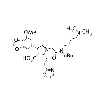 CCCCN(CCCCN(C)C)C(=O)CN1CC(c2cc(OC)c3c(c2)OCO3)C(C(=O)O)C1CCc1ncco1